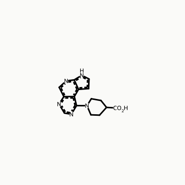 O=C(O)C1CCN(c2ncnc3cnc4[nH]ccc4c23)CC1